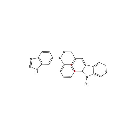 CCn1c2ccccc2c2cc(/C=N\N(c3ccccc3)c3ccc4nn[nH]c4c3)ccc21